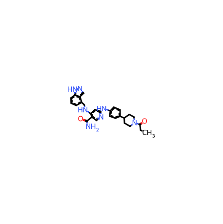 CCC(=O)N1CCC(c2ccc(Nc3cc(NCc4cccc5[nH]ncc45)c(C(N)=O)cn3)cc2)CC1